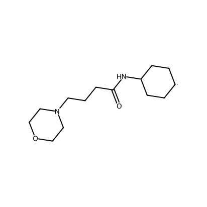 O=C(CCCN1CCOCC1)NC1CC[CH]CC1